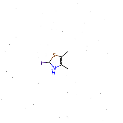 CC1=C(C)SC(I)N1